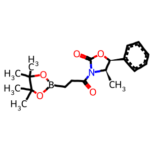 C[C@@H]1[C@H](c2ccccc2)OC(=O)N1C(=O)CCB1OC(C)(C)C(C)(C)O1